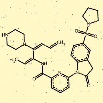 C=C/C=C(\C(=C/C)NC(=O)c1cccc(N2C(=O)Cc3cc(S(=O)(=O)N4CCCC4)ccc32)n1)N1CCNCC1